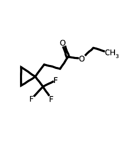 CCOC(=O)CCC1(C(F)(F)F)CC1